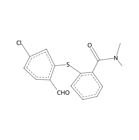 CN(C)C(=O)c1ccccc1Sc1cc(Cl)ccc1C=O